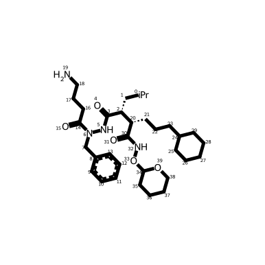 CC(C)C[C@@H](C(=O)NN(Cc1ccccc1)C(=O)CCCN)[C@H](CCCC1CCCCC1)C(=O)NOC1CCCCO1